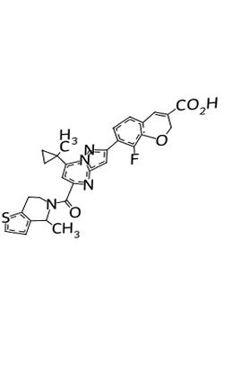 CC1c2ccsc2CCN1C(=O)c1cc(C2(C)CC2)n2nc(-c3ccc4c(c3F)OCC(C(=O)O)=C4)cc2n1